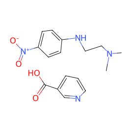 CN(C)CCNc1ccc([N+](=O)[O-])cc1.O=C(O)c1cccnc1